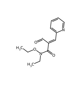 CCON(CC)C(=O)/C([C]=O)=C/c1ccccn1